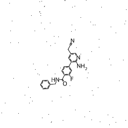 N#CCc1cnc(N)c(-c2ccc(C(=O)NCc3ccccc3)c(F)c2)c1